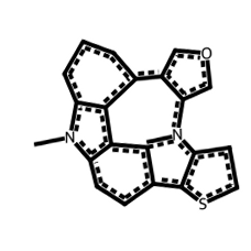 Cn1c2cccc3c4cocc4n4c5ccsc5c5ccc1c(c32)c54